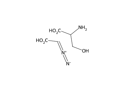 NC(CO)C(=O)O.[N-]=[N+]=CC(=O)O